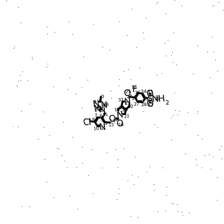 Cc1nnn(Cc2cc(Cl)cnc2COC(=O)N2CC3=C(C2)CN(C(=O)c2ccc(S(N)(=O)=O)cc2F)C3)n1